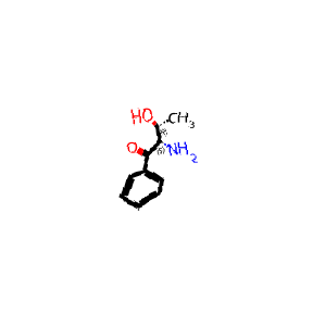 C[C@@H](O)[C@H](N)C(=O)c1cc[c]cc1